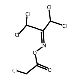 O=C(CCl)ON=C(C(Cl)Cl)C(Cl)Cl